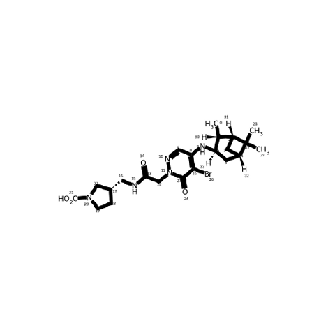 C[C@@H]1[C@H]2C[C@@H](C[C@H]1Nc1cnn(CC(=O)NC[C@@H]3CCN(C(=O)O)C3)c(=O)c1Br)C2(C)C